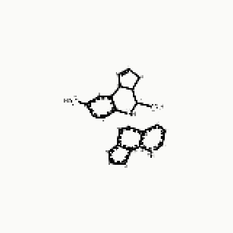 O=C(O)c1ccc2c(c1)C1C=CCC1C(C(=O)O)N2.c1c[nH]c2c(c1)ccc1cccc12